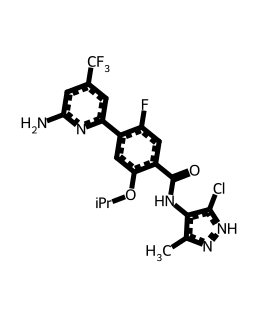 Cc1n[nH]c(Cl)c1NC(=O)c1cc(F)c(-c2cc(C(F)(F)F)cc(N)n2)cc1OC(C)C